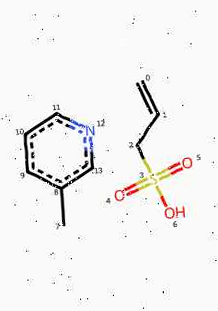 C=CCS(=O)(=O)O.Cc1cccnc1